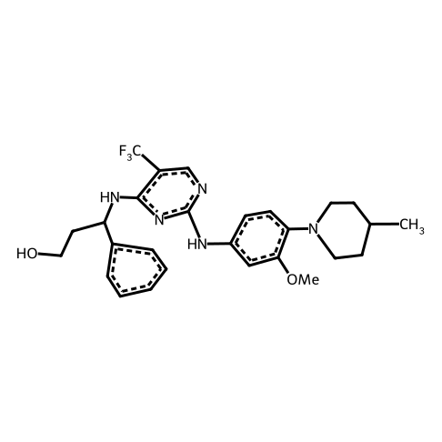 COc1cc(Nc2ncc(C(F)(F)F)c(NC(CCO)c3ccccc3)n2)ccc1N1CCC(C)CC1